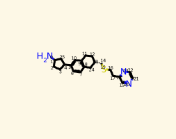 NC1CCC(c2ccc3c(c2)CC[C@H](CSCCc2cnccn2)C3)C1